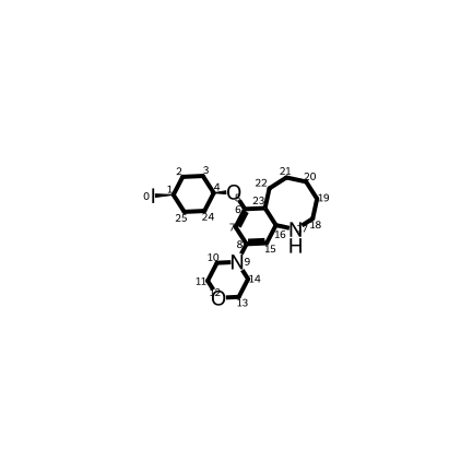 I[C@H]1CC[C@@H](OC2=CC(N3CCOCC3)=CC3NCCCCCC23)CC1